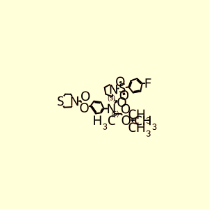 C[C@@H](C(=O)OC(C)(C)C)N(C(=O)[C@@H]1CCCN1S(=O)(=O)c1ccc(F)cc1)c1ccc(OC(=O)N2CCSCC2)cc1